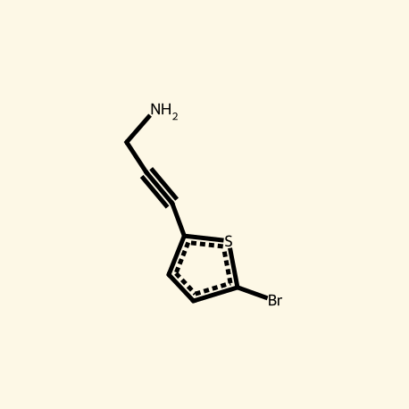 NCC#Cc1ccc(Br)s1